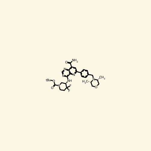 C[C@@H]1COC[C@H](C)N1Cc1ccc(-c2cc(C(N)=O)c3ncnc(N[C@@H]4CN(C(=O)OC(C)(C)C)CCC4(F)F)c3n2)cc1